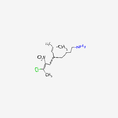 CC(C)=C/C(=C\C(=C(/C)Cl)[N+](=O)[O-])CCCCN